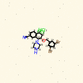 Cl.Cl.N#Cc1ccc2c(c1)[C@H](N1CCNCC1)[C@@H](OCc1cc(Br)cc(Br)c1)CC2